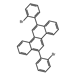 Brc1ccccc1-c1cc2c3ccccc3c(-c3ccccc3Br)cc2c2ccccc12